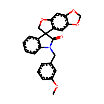 COc1cccc(CN2C(=O)C3(COc4cc5c(cc43)OCO5)c3ccccc32)c1